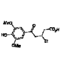 CCC(CC(=O)O)CC(=O)c1cc(OC)c(O)c(OC)c1